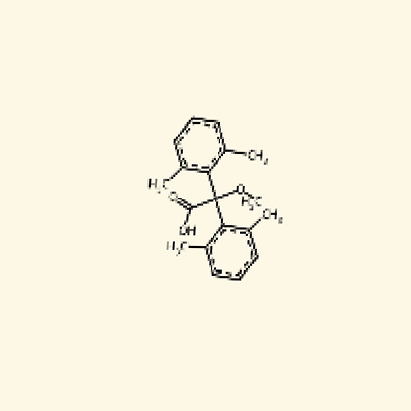 COC(C(=O)O)(c1c(C)cccc1C)c1c(C)cccc1C